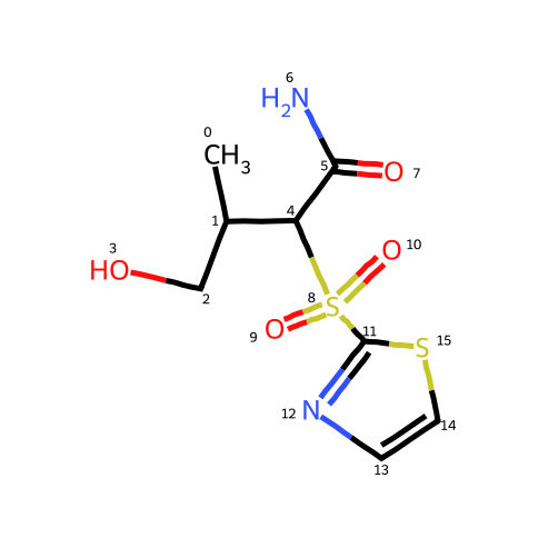 CC(CO)C(C(N)=O)S(=O)(=O)c1nccs1